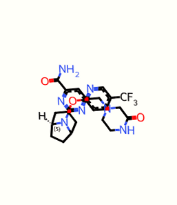 NC(=O)c1cc(CN2CCNC(=O)C2)nc(N2C3CC[C@H]2CC(Oc2ccc(C(F)(F)F)cn2)C3)n1